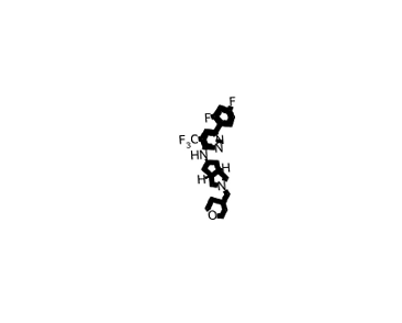 Fc1ccc(-c2cc(C(F)(F)F)c(N[C@H]3C[C@@H]4CN(CC5CCOCC5)C[C@@H]4C3)nn2)c(F)c1